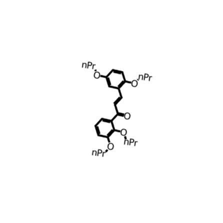 CCCOc1ccc(OCCC)c(/C=C/C(=O)c2cccc(OCCC)c2OCCC)c1